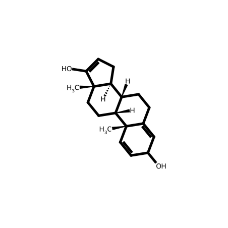 C[C@]12C=CC(O)C=C1CC[C@@H]1[C@H]2CC[C@]2(C)C(O)=CC[C@@H]12